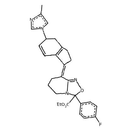 CCOC(=O)C1(c2ccc(F)cc2)ON=C2/C(=C3\CCC4=C3C=CC(n3cnc(C)c3)C4)CCCN21